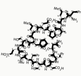 CC[C@H](C)[C@H](NC(=O)[C@H](CCC(=O)O)NC(=O)[C@H](CO)NC(=O)[C@H](Cc1ccccc1)NC(=O)[C@H](CCSC)NC(=O)[C@H](CCC(=O)O)NC(=O)[C@@H]1CCCN1C(=O)[C@@H](NC(=O)[C@H](CCSC)NC(=O)[C@@H](N)CC(C)C)[C@@H](C)O)C(=O)N[C@@H](CC(C)C)C(=O)N[C@@H](CS)C(=O)N[C@@H](CC(=O)O)C(=O)N[C@@H](CC(C)C)C(=O)N[C@@H](CC(N)=O)C(=O)O